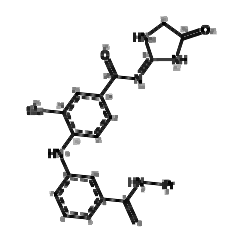 C=C(NC(C)C)c1cccc(Nc2ccc(C(=O)/N=C3\NCC(=O)N3)cc2C(C)(C)C)c1